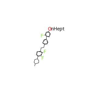 CCCCCCCOc1ccc(-c2ccc(CCc3ccc(C4CCC(C)CC4)c(F)c3F)cc2)c(F)c1